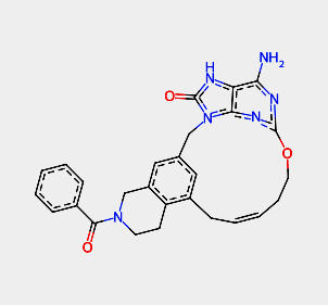 Nc1nc2nc3c1[nH]c(=O)n3Cc1cc(c3c(c1)CN(C(=O)c1ccccc1)CC3)CC=CCCO2